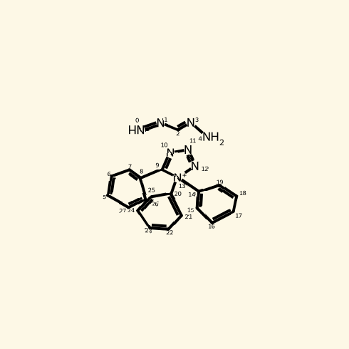 N=NC=NN.c1ccc(C2=NN=N[N+]2(c2ccccc2)c2ccccc2)cc1